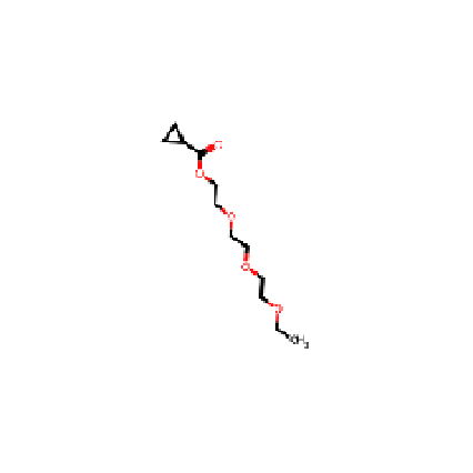 CCOCCOCCOCCOC(=O)C1CC1